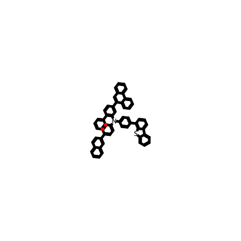 c1ccc(-c2ccc(-c3cc4ccccc4c4ccccc34)cc2N(c2ccc(-c3ccc4ccccc4c3)cc2)c2ccc(-c3cccc4c3sc3ccccc34)cc2)cc1